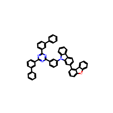 c1ccc(-c2cccc(-c3nc(-c4cccc(-c5ccccc5)c4)nc(-c4cccc(-n5c6ccccc6c6ccc(-c7cccc8oc9ccccc9c78)cc65)c4)n3)c2)cc1